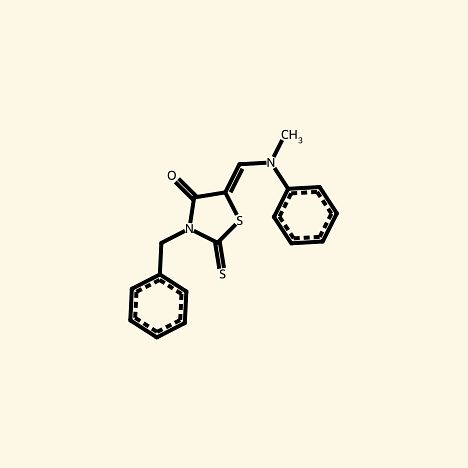 CN(/C=C1\SC(=S)N(Cc2ccccc2)C1=O)c1ccccc1